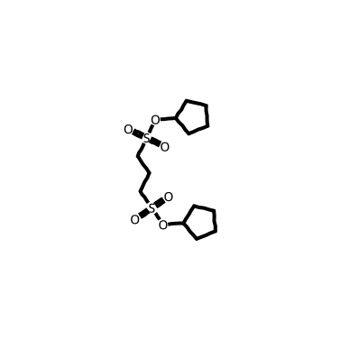 O=S(=O)(CCCS(=O)(=O)OC1CCCC1)OC1CCCC1